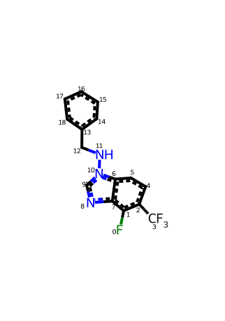 Fc1c(C(F)(F)F)ccc2c1n[c]n2NCc1ccccc1